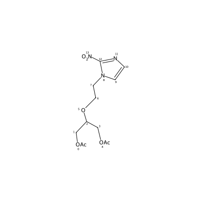 CC(=O)OCC(COC(C)=O)OCCn1ccnc1[N+](=O)[O-]